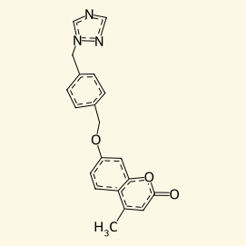 Cc1cc(=O)oc2cc(OCc3ccc(Cn4cncn4)cc3)ccc12